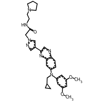 COc1cc(OC)cc(N(CC2CC2)c2ccc3ncc(-c4cnn(CC(=O)NCCN5CCCC5)c4)nc3c2)c1